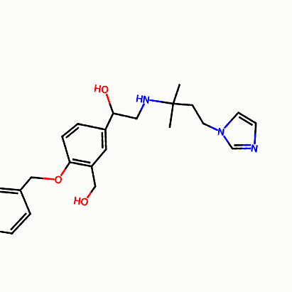 CC(C)(CCn1ccnc1)NCC(O)c1ccc(OCc2ccccc2)c(CO)c1